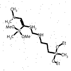 CCO[Si](C)(CCCNC[SiH2]C(=CN(C)C)[Si](C)(OC)OC)OCC